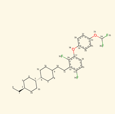 CC[C@H]1CC[C@H](C2CCC(CCc3c(F)c[c]c(Oc4ccc(OC(F)F)cc4)c3F)CC2)CC1